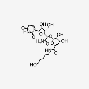 NC(=O)[C@H](O[C@H]1OC(C(=O)NCCCCCO)=C[C@H](O)[C@@H]1O)C1O[C@@H](n2ccc(=O)[nH]c2=O)[C@H](O)[C@@H]1CO